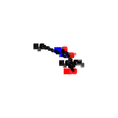 CCCCCCCCCC1=NC2(CCN([S@@+]([O-])CCc3c(C)cc(C(=O)O)cc3C)CC2)C(=O)N1